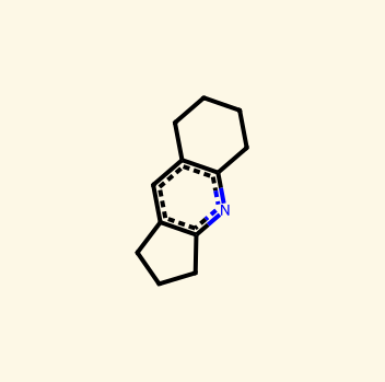 c1c2c(nc3c1CCC3)CCCC2